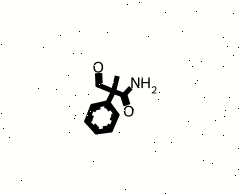 CC(C=O)(C(N)=O)c1ccccc1